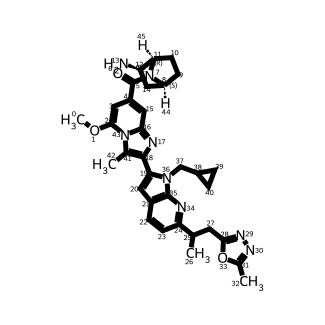 COc1cc(C(=O)N2[C@H]3CC[C@@H]2[C@H](N)C3)cc2nc(-c3cc4ccc(C(C)Cc5nnc(C)o5)nc4n3CC3CC3)c(C)n12